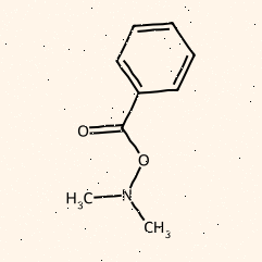 CN(C)OC(=O)c1ccccc1